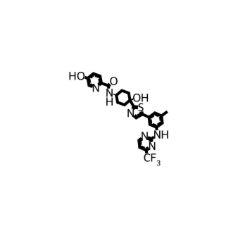 Cc1cc(Nc2nccc(C(F)(F)F)n2)cc(-c2cnc([C@]3(O)CC[C@H](NC(=O)c4ccc(O)cn4)CC3)s2)c1